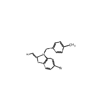 CC(=O)/C=C1\Sc2ccc(Br)cc2N1Cc1ccc(C)cc1